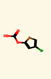 O=C(O)Oc1cc(Br)cs1